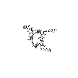 O=C(O)c1ccc(-c2c3nc(c(-c4ccc(C(=O)O)cc4)c4ccc([nH]4)c(-c4ccc(C(=O)O)cc4)c4nc(cc5ccc2[nH]5)C=C4)C=C3)cc1